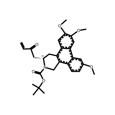 C=CC(=O)C[C@@H]1Cc2c(c3ccc(OC)cc3c3cc(OC)c(OC)cc23)CN1C(=O)OC(C)(C)C